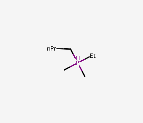 CCCC[PH](C)(C)CC